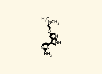 CN(C)CCOc1cnc2c(c1)C(c1ccnc(N)n1)CN2